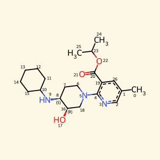 Cc1cnc(N2CC[C@H](NC3CCCCC3)[C@H](O)C2)c(C(=O)OC(C)C)c1